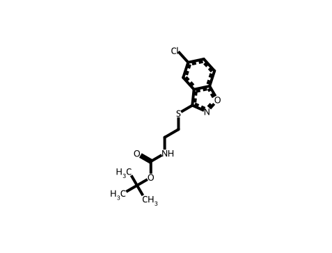 CC(C)(C)OC(=O)NCCSc1noc2ccc(Cl)cc12